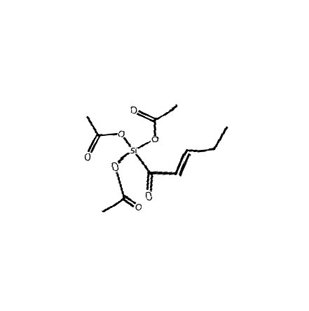 CCC=CC(=O)[Si](OC(C)=O)(OC(C)=O)OC(C)=O